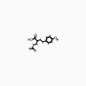 COc1ccc(CCC(CSC(C)=O)C(=O)O)cc1